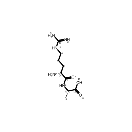 C[C@H](NC(=O)[C@H](N)CCCNC(=N)N)C(=O)O